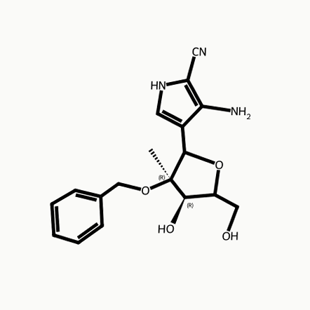 C[C@]1(OCc2ccccc2)C(c2c[nH]c(C#N)c2N)OC(CO)[C@H]1O